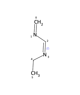 C=N/C=N\CC